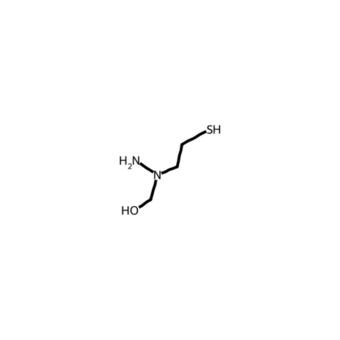 NN(CO)CCS